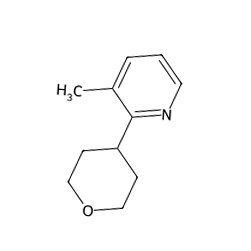 Cc1cccnc1C1CCOCC1